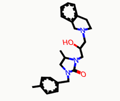 Cc1ccc(CN2CC(C)N(CC(O)CN3CCc4ccccc4C3)C2=O)cc1